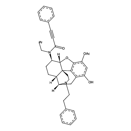 CC(=O)Oc1cc(O)c2c3c1O[C@H]1[C@H](N(CC(C)C)C(=O)C#Cc4ccccc4)CC[C@H]4[C@@H](C2)N(CCc2ccccc2)CC[C@@]341